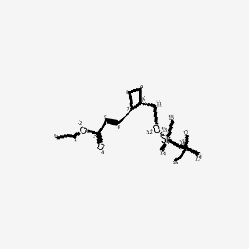 CCOC(=O)/C=C/[C@H]1CC[C@H]1CO[Si](C)(C)C(C)(C)C